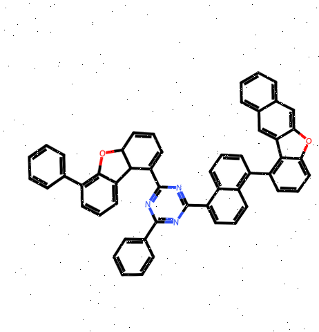 C1=CC2Oc3c(-c4ccccc4)cccc3C2C(c2nc(-c3ccccc3)nc(-c3cccc4c(-c5cccc6oc7cc8ccccc8cc7c56)cccc34)n2)=C1